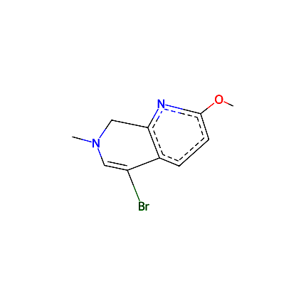 COc1ccc2c(n1)CN(C)C=C2Br